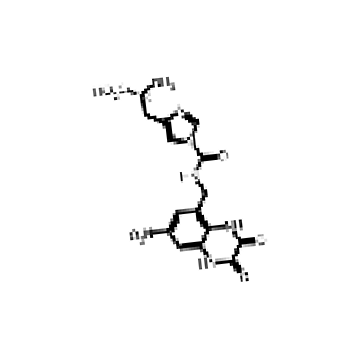 N[C@@H](Cc1cn(C(=O)NCc2cc([N+](=O)[O-])cc3[nH]c(=O)c(=O)[nH]c23)cn1)C(=O)O